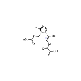 C=C(O)C(=O)N/C=C(/c1cnn(C)c1COC(=O)CCCC)C(C)CC